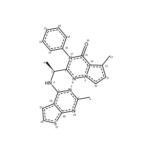 Cc1nc(N[C@@H](C)c2nn3ccc(C)c3c(=O)n2-c2ccccc2)c2ccsc2n1